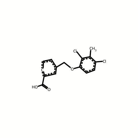 Cc1c(Cl)ccc(OCc2cccc(C(=O)O)c2)c1Cl